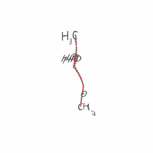 CCCCCCCCCCCCCCCC[C@@H](O)CNC(=O)CCCCCCCCCCCCCCCCCCCCCCCCCCCCCC(=O)CCCCCCCCCCC